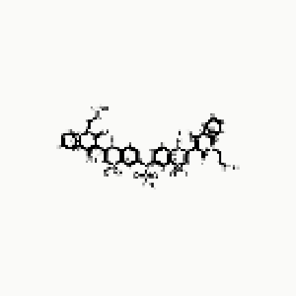 CC(C)(C)CCN1C(=O)C(C2=CS(=O)(=O)c3cc(N(c4ccc5c(c4)S(=O)(=O)C=C(C4=C(O)C6C7C=CC(C7)C6N(CCC(C)(C)C)C4=O)N5)S(C)(=O)=O)ccc3N2)=C(O)C2C3C=CC(C3)C21